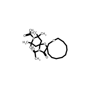 CC(=O)N1C(C)(C)CC2(CC1(C)C)OC1(CCCCCCCCCCC1)C(=O)N2C(C)=O